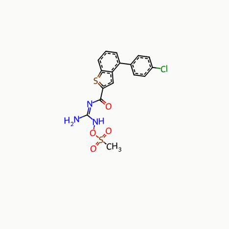 CS(=O)(=O)ONC(N)=NC(=O)c1cc2c(-c3ccc(Cl)cc3)cccc2s1